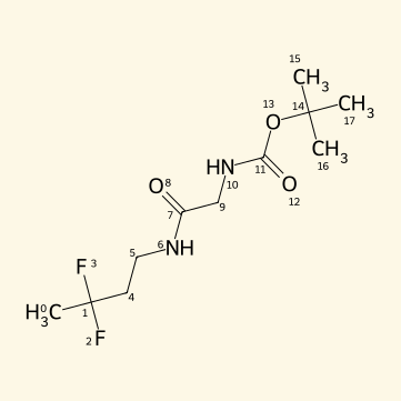 CC(F)(F)CCNC(=O)CNC(=O)OC(C)(C)C